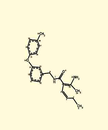 CC/C=C\C(C(=O)NCc1cccc(Oc2ccc(C)cc2)c1)=C(/C)N